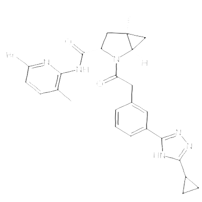 Cc1ccc(Br)nc1NC(=O)[C@@H]1C[C@@]2(C)C[C@H]2N1C(=O)Cc1cccc(-c2nnc(C3CC3)[nH]2)c1